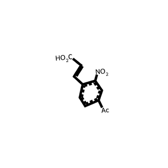 CC(=O)c1ccc(C=CC(=O)O)c([N+](=O)[O-])c1